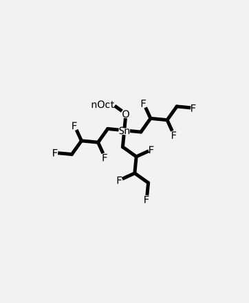 CCCCCCCC[O][Sn]([CH2]C(F)C(F)CF)([CH2]C(F)C(F)CF)[CH2]C(F)C(F)CF